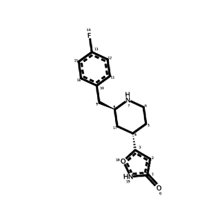 O=c1cc([C@H]2CCN[C@H](Cc3ccc(F)cc3)C2)o[nH]1